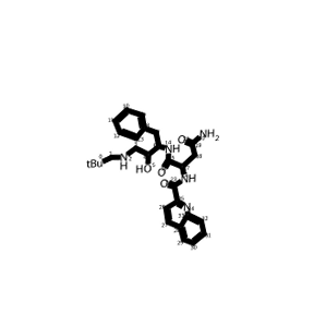 CC(C)(C)CNCC(O)C(Cc1ccccc1)NC(=O)C(CC(N)=O)NC(=O)c1ccc2ccccc2n1